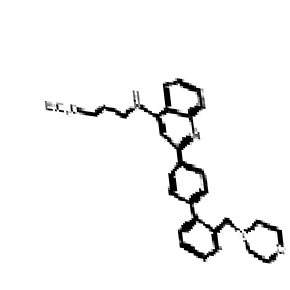 CCOC(=O)CCCNc1cc(-c2ccc(-c3ccccc3CN3CCOCC3)cc2)nc2ccccc12